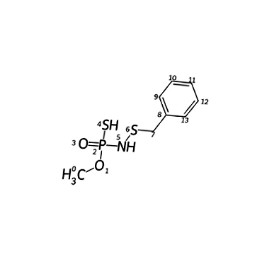 COP(=O)(S)NSCc1ccccc1